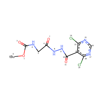 CC(C)(C)OC(=O)NCC(=O)NNC(=O)c1c(Cl)ncnc1Cl